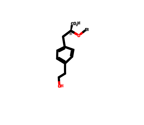 CCO[C@@H](Cc1ccc(CCO)cc1)C(=O)O